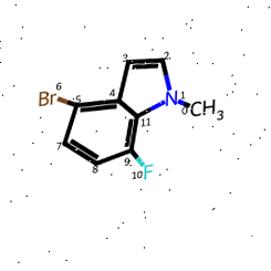 Cn1ccc2c(Br)ccc(F)c21